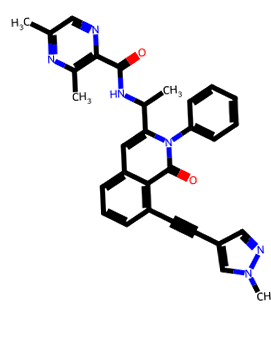 Cc1cnc(C(=O)NC(C)c2cc3cccc(C#Cc4cnn(C)c4)c3c(=O)n2-c2ccccc2)c(C)n1